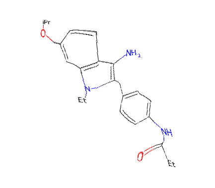 CCC(=O)Nc1ccc(-c2c(N)c3ccc(OC(C)C)cc3n2CC)cc1